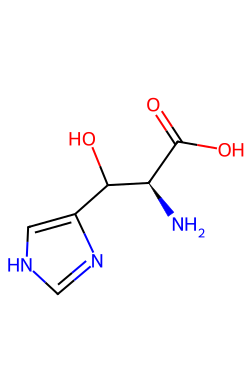 N[C@H](C(=O)O)C(O)c1c[nH]cn1